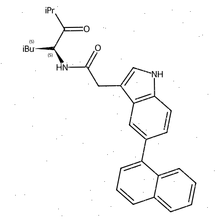 CC[C@H](C)[C@H](NC(=O)Cc1c[nH]c2ccc(-c3cccc4ccccc34)cc12)C(=O)C(C)C